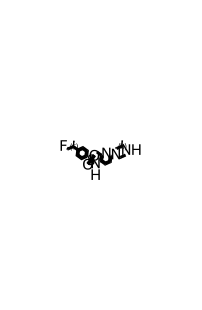 Cc1nc(N2CCN[C@H](C)C2)ccc1NS(=O)(=O)c1ccc([C@H](C)CF)cc1